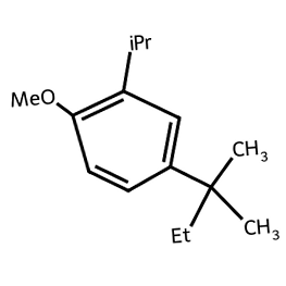 CCC(C)(C)c1ccc(OC)c(C(C)C)c1